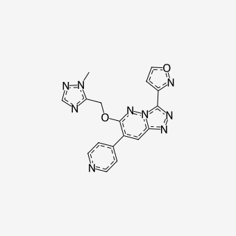 Cn1ncnc1COc1nn2c(-c3ccon3)nnc2cc1-c1ccncc1